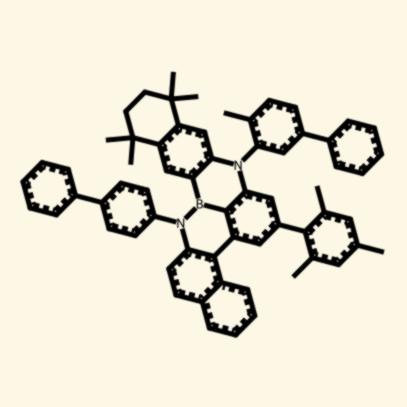 Cc1cc(C)c(-c2cc3c4c(c2)N(c2cc(-c5ccccc5)ccc2C)c2cc5c(cc2B4N(c2ccc(-c4ccccc4)cc2)c2ccc4ccccc4c2-3)C(C)(C)CCC5(C)C)c(C)c1